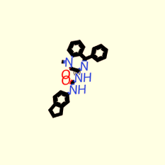 CN1C(=O)[C@H](NC(=O)Nc2ccc3c(c2)CCC3)N=C(c2ccccc2)c2ccccc21